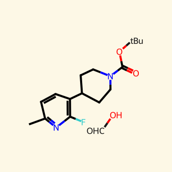 Cc1ccc(C2CCN(C(=O)OC(C)(C)C)CC2)c(F)n1.O=CO